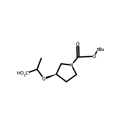 CC(O[C@@H]1CCN(C(=O)OC(C)(C)C)C1)C(=O)O